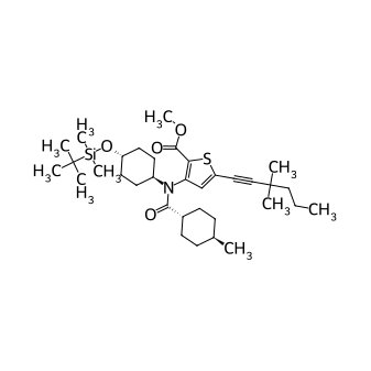 CCCC(C)(C)C#Cc1cc(N(C(=O)[C@H]2CC[C@H](C)CC2)[C@H]2CC[C@H](O[Si](C)(C)C(C)(C)C)CC2)c(C(=O)OC)s1